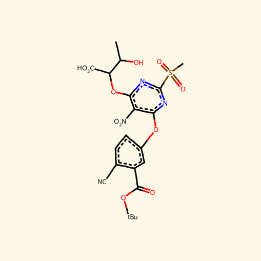 CC(O)C(Oc1nc(S(C)(=O)=O)nc(Oc2ccc(C#N)c(C(=O)OC(C)(C)C)c2)c1[N+](=O)[O-])C(=O)O